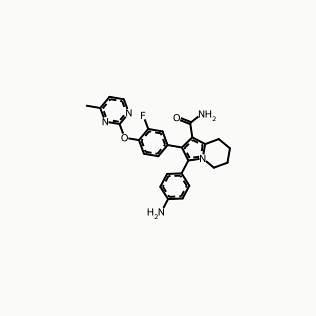 Cc1ccnc(Oc2ccc(-c3c(C(N)=O)c4n(c3-c3ccc(N)cc3)CCCC4)cc2F)n1